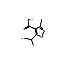 CCCC(CC)c1onc(C)c1C(=O)OC